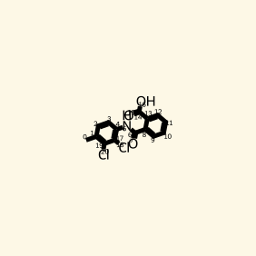 Cc1ccc(NC(=O)c2ccccc2C(=O)O)c(Cl)c1Cl